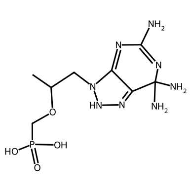 CC(CN1NN=C2C1=NC(N)=NC2(N)N)OCP(=O)(O)O